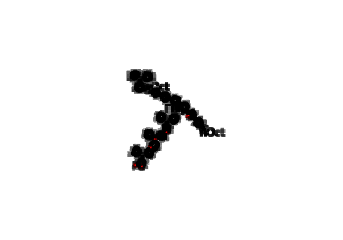 CCCCCCCCOc1ccc(-c2ccc(-c3ccc4c(c3)C(CC)(CC)c3cc(-c5ccc(-c6ccc(OCCCCCCCC)cc6)cc5)ccc3-4)cc2)cc1.[Pd].c1ccc(P(c2ccccc2)c2ccccc2)cc1.c1ccc(P(c2ccccc2)c2ccccc2)cc1.c1ccc(P(c2ccccc2)c2ccccc2)cc1.c1ccc(P(c2ccccc2)c2ccccc2)cc1